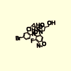 O=S(=O)(C1CC1)N(CC(O)CO)c1cc2ocnc2c(F)c1Nc1ccc(Br)cc1Cl